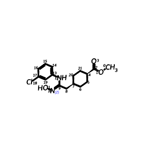 COC(=O)[C@H]1CC[C@@H](C/C(=N/O)Nc2cccc(Cl)c2)CC1